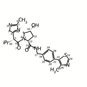 CC1=NCC([C@H](C(=O)N2C[C@H](O)C[C@H]2C(=O)NCc2ccc(-c3scnc3C)cc2)C(C)C)=N1